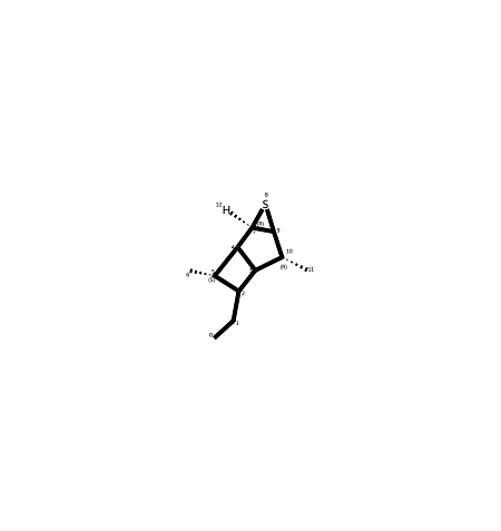 CCC1C2C([C@H]1C)[C@H]1SC1[C@@H]2C